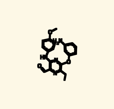 CCc1nc(C=O)c(Nc2ccc(OC)cc2)nc1Oc1cccc(N)c1